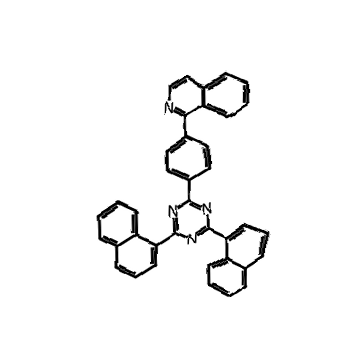 c1ccc2c(-c3nc(-c4ccc(-c5nccc6ccccc56)cc4)nc(-c4cccc5ccccc45)n3)cccc2c1